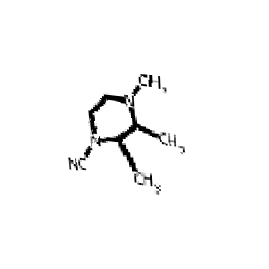 CC1C(C)N(C#N)CCN1C